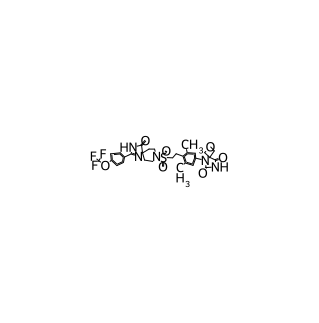 Cc1cc(N2C(=O)NC(=O)C23COC3)cc(C)c1CCS(=O)(=O)N1CCC2(CC1)N=C(c1ccc(OC(F)(F)F)cc1)NC2=O